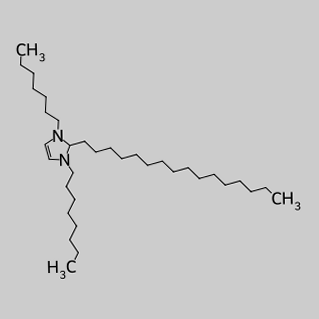 CCCCCCCCCCCCCCCCC1N(CCCCCCC)C=CN1CCCCCCCC